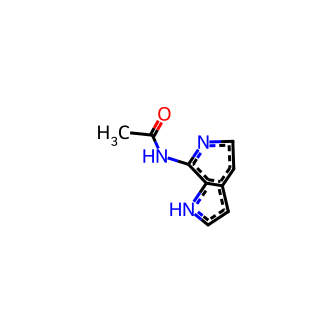 CC(=O)Nc1nccc2cc[nH]c12